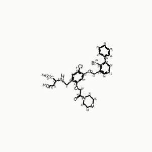 O=C(O)C(CO)NCc1cc(Cl)c(OCc2cccc(-c3ccccc3)c2Br)cc1OCC(=O)N1CCOCC1